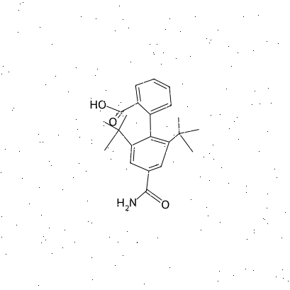 CC(C)(C)c1cc(C(N)=O)cc(C(C)(C)C)c1-c1ccccc1C(=O)O